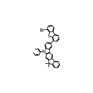 C/C=C\C(=C/C)n1c2ccc(-c3cccc4c3sc3c(Br)cccc34)cc2c2cc3c(cc21)C(C)(C)c1ccccc1-3